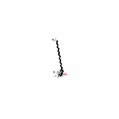 CCCCCCCCCCCCCCCCCCC(O)(CC)[N+](C)(C)C